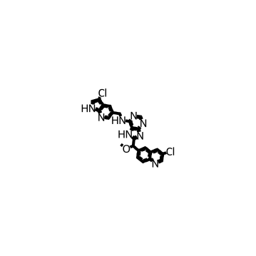 COC(c1ccc2ncc(Cl)cc2c1)c1nc2ncnc(NCc3cnc4[nH]cc(Cl)c4c3)c2[nH]1